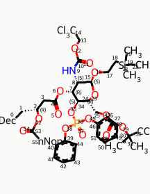 CCCCCCCCCCC[C@H](CC(=O)O[C@@H]1[C@H](NC(=O)OCC(Cl)(Cl)Cl)[C@@H](OCC[Si](C)(C)C)O[C@H](COC(=O)OC(C)(C)C(Cl)(Cl)Cl)[C@H]1OP(=O)(Oc1ccccc1)Oc1ccccc1)OC(=O)CCCCCCCCC